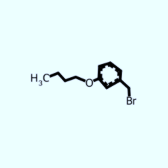 CCCCOc1cccc(CBr)c1